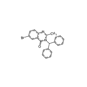 Cc1nc2ccc(Br)cc2c(=O)n1C(c1ccccc1)c1ccccc1